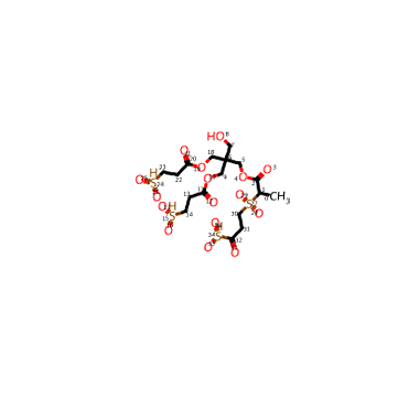 CC(C(=O)OCC(CO)(COC(=O)CC[SH](=O)=O)COC(=O)CC[SH](=O)=O)S(=O)(=O)CCC(=O)[SH](=O)=O